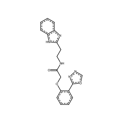 O=C(COc1ccccc1-c1nnco1)NCCc1nc2ccccc2[nH]1